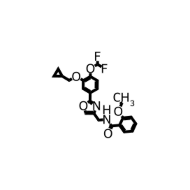 CCOc1ccccc1C(=O)NCc1coc(-c2ccc(OC(F)F)c(OCC3CC3)c2)n1